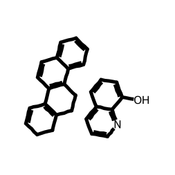 C1=CC2=C(CC1)CCc1c2ccc2ccccc12.Oc1cccc2cccnc12